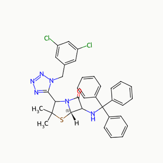 CC1(C)S[C@H]2C(NC(c3ccccc3)(c3ccccc3)c3ccccc3)C(=O)N2C1c1nnnn1Cc1cc(Cl)cc(Cl)c1